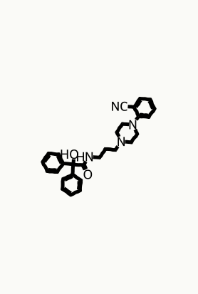 N#Cc1ccccc1N1CCN(CCCNC(=O)C(O)(c2ccccc2)c2ccccc2)CC1